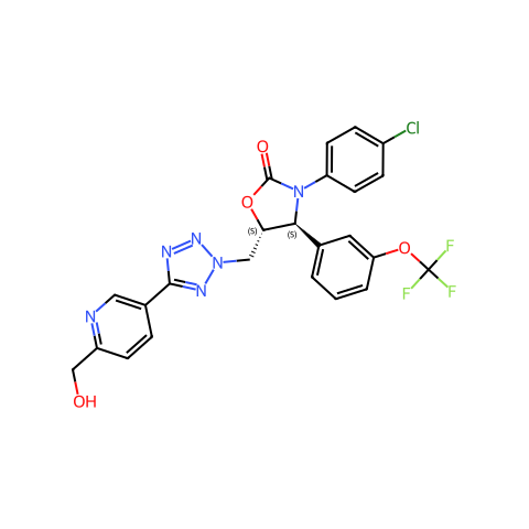 O=C1O[C@@H](Cn2nnc(-c3ccc(CO)nc3)n2)[C@H](c2cccc(OC(F)(F)F)c2)N1c1ccc(Cl)cc1